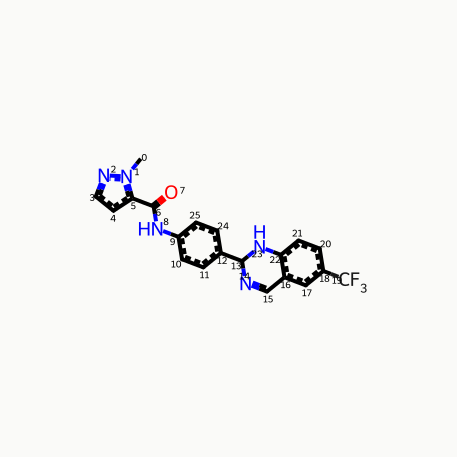 Cn1nccc1C(=O)Nc1ccc(C2N=Cc3cc(C(F)(F)F)ccc3N2)cc1